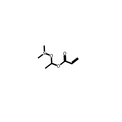 C=CC(=O)OC(C)O[Si](C)C